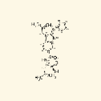 CC(C)C[C@H](NC(=O)c1ccc2c(c1)nc(Cc1cccs1)n2CC(C)C)C(=O)O